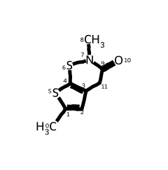 Cc1cc2c(s1)SN(C)C(=O)C2